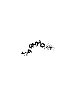 CN(C(=O)OC(C)(C)C)C1CCN(C(=O)c2ccc(-c3cc4nccc(Oc5ccc(NC(=O)NC6CC6)cc5F)c4s3)nc2)CC1